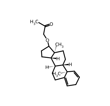 CC(=O)COC1CC[C@H]2[C@@H]3CCC4=CCC=C[C@]4(C)[C@H]3CC[C@]12C